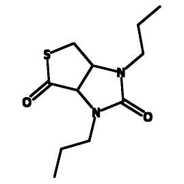 CCCN1C(=O)N(CCC)C2C(=O)SCC21